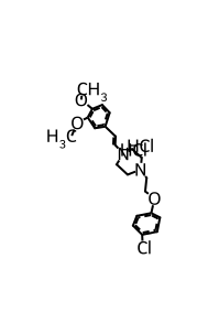 COc1ccc(C=CN2CCN(CCOc3ccc(Cl)cc3)CC2)cc1OC.Cl.Cl